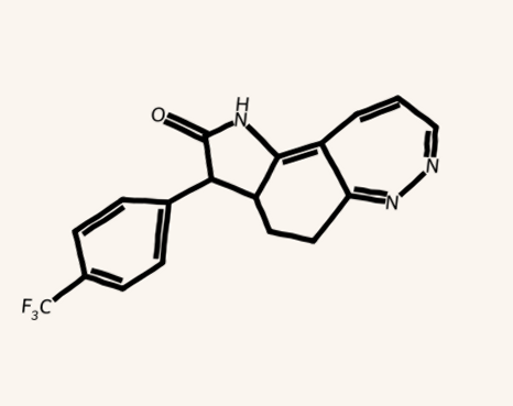 O=C1NC2=C3C=CC=NN=C3CCC2C1c1ccc(C(F)(F)F)cc1